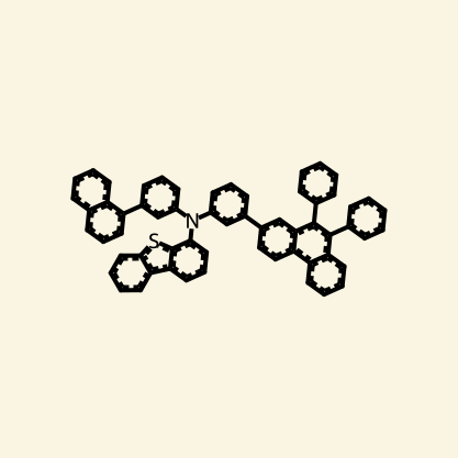 c1ccc(-c2c(-c3ccccc3)c3cc(-c4cccc(N(c5cccc(-c6cccc7ccccc67)c5)c5cccc6c5sc5ccccc56)c4)ccc3c3ccccc23)cc1